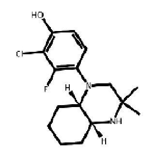 CC1(C)CN(c2ccc(O)c(Cl)c2F)[C@H]2CCCC[C@H]2N1